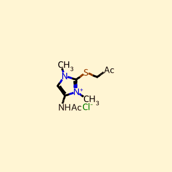 CC(=O)CSc1n(C)cc(NC(C)=O)[n+]1C.[Cl-]